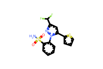 NS(=O)(=O)c1ccccc1-n1nc(C(F)F)cc1-c1cccs1